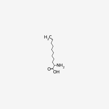 C=CCCCCCCCC(N)C(=O)O